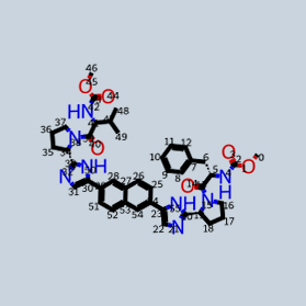 COC(=O)N[C@@H](Cc1ccccc1)C(=O)N1CCC[C@H]1c1ncc(-c2ccc3cc(-c4cnc([C@@H]5CCCN5C(=O)[C@@H](NC(=O)OC)C(C)C)[nH]4)ccc3c2)[nH]1